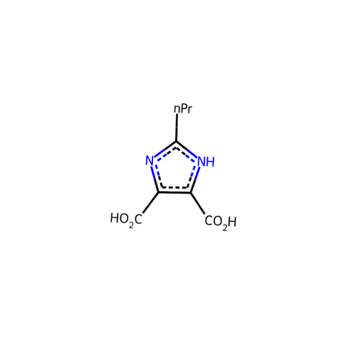 CCCc1nc(C(=O)O)c(C(=O)O)[nH]1